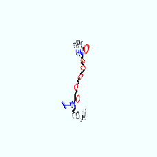 CCCC(=O)NCCOCCOCCOCCOCCC(=O)NCCC(=O)O